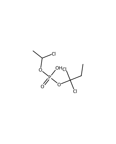 CCC(Cl)(Cl)OP(=O)(O)OC(C)Cl